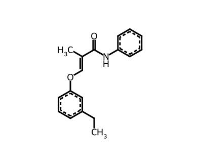 CCc1cccc(O/C=C(\C)C(=O)Nc2ccccc2)c1